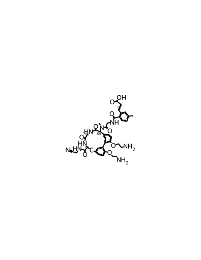 Cc1ccc(C(=O)NCC(=O)N(C)[C@@H]2C(=O)N[C@@H](C)C(=O)N[C@H](C(=O)NCC#N)Cc3ccc(OCCN)c(c3)-c3cc2ccc3OCCN)c(/C=C/C(=O)O)c1